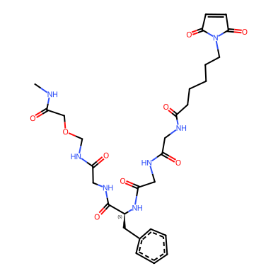 CNC(=O)COCNC(=O)CNC(=O)[C@H](Cc1ccccc1)NC(=O)CNC(=O)CNC(=O)CCCCCN1C(=O)C=CC1=O